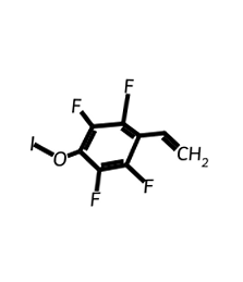 C=Cc1c(F)c(F)c(OI)c(F)c1F